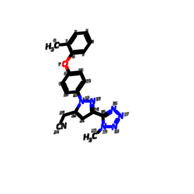 Cc1ccccc1Oc1ccc(N2N=C(c3nnnn3C)CC2CC#N)cc1